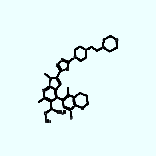 Cc1nc2c(cc(-c3nnc(N4CCN(CCN5CCOCC5)CC4)o3)n2C)c(-c2cc(F)c3c(c2C)CCCO3)c1[C@H](OC(C)(C)C)C(=O)O